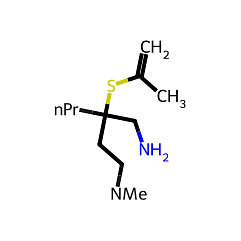 C=C(C)SC(CN)(CCC)CCNC